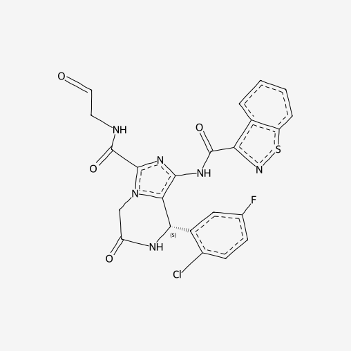 O=CCNC(=O)c1nc(NC(=O)c2nsc3ccccc23)c2n1CC(=O)N[C@H]2c1cc(F)ccc1Cl